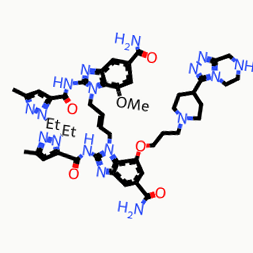 CCn1nc(C)cc1C(=O)Nc1nc2cc(C(N)=O)cc(OC)c2n1C/C=C/Cn1c(NC(=O)c2cc(C)nn2CC)nc2cc(C(N)=O)cc(OCCCN3CCC(c4nnc5n4CCNC5)CC3)c21